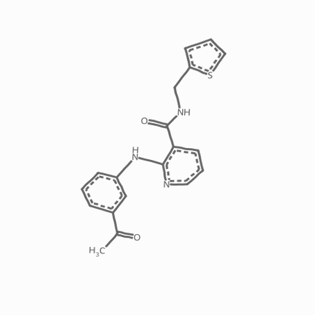 CC(=O)c1cccc(Nc2ncccc2C(=O)NCc2cccs2)c1